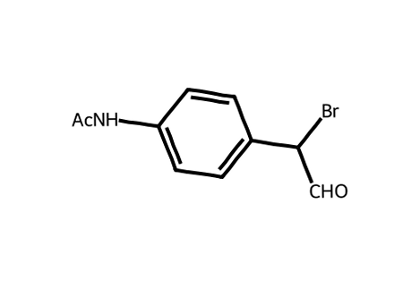 CC(=O)Nc1ccc(C(Br)C=O)cc1